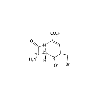 N[C@@H]1C(=O)N2C(C(=O)O)=CC(CBr)[S+]([O-])[C@H]12